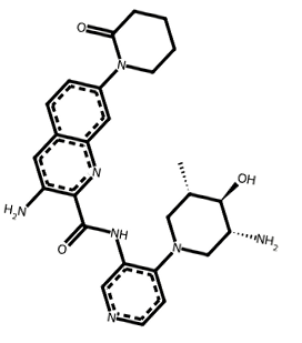 C[C@H]1CN(c2ccncc2NC(=O)c2nc3cc(N4CCCCC4=O)ccc3cc2N)C[C@@H](N)[C@@H]1O